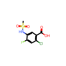 CS(=O)(=O)Nc1cc(C(=O)O)c(Cl)cc1F